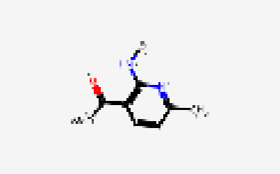 CCNc1nc(C)ccc1C(=O)OC